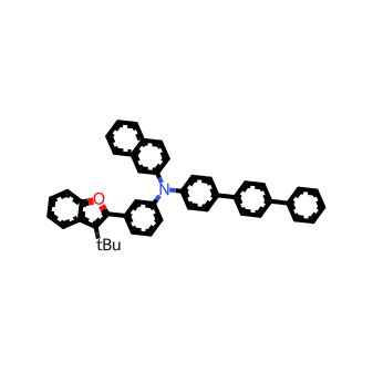 CC(C)(C)c1c(-c2cccc(N(c3ccc(-c4ccc(-c5ccccc5)cc4)cc3)c3ccc4ccccc4c3)c2)oc2ccccc12